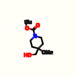 COC1(CO)CCN(C(=O)OC(C)(C)C)CC1